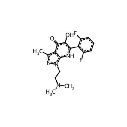 Cc1nn(CCN(C)C)c2[nH]c(-c3c(F)cccc3F)c(O)c(=O)c12